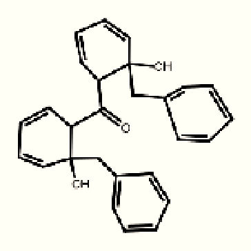 O=C(C1C=CC=CC1(O)Cc1ccccc1)C1C=CC=CC1(O)Cc1ccccc1